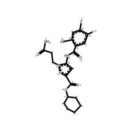 NC(=O)CCn1nc(C(=O)OC2CCCCC2)cc1NC(=O)c1cc(F)c(F)cc1Cl